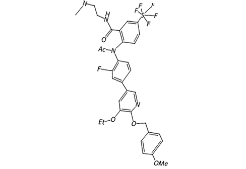 CCOc1cc(-c2ccc(N(C(C)=O)c3ccc(S(F)(F)(F)(F)F)cc3C(=O)NCCN(C)C)c(F)c2)cnc1OCc1ccc(OC)cc1